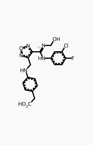 O=C(O)Cc1ccc(NCc2nonc2/C(=N/CO)Nc2ccc(F)c(Cl)c2)cc1